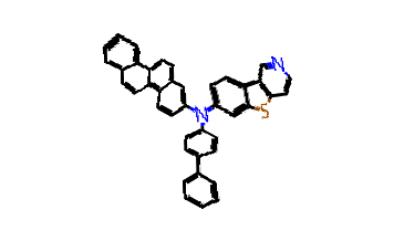 c1ccc(-c2ccc(N(c3ccc4c(ccc5c6ccccc6ccc45)c3)c3ccc4c(c3)sc3ccncc34)cc2)cc1